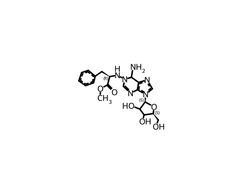 COC(=O)[C@@H](Cc1ccccc1)NN1C=Nc2c(ncn2[C@H]2O[C@@H](CO)C(O)C2O)C1N